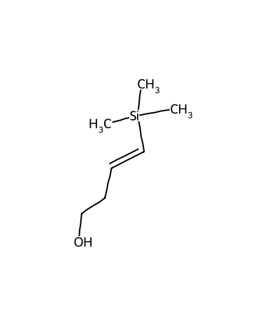 C[Si](C)(C)C=CCCO